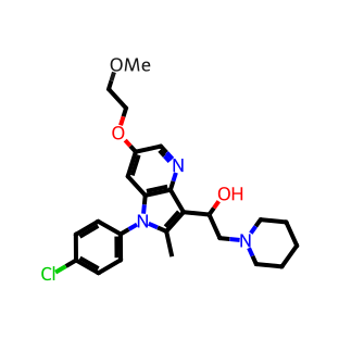 COCCOc1cnc2c(C(O)CN3CCCCC3)c(C)n(-c3ccc(Cl)cc3)c2c1